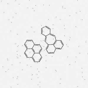 C1=c2ccccc2=Cc2cccc3cccc1c23.c1cc2ccc3cccc4ccc(c1)c2c34